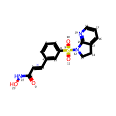 O=C(/C=C/c1cccc(S(=O)(=O)N2CCc3cccnc32)c1)NO